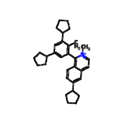 Cc1c(-c2c3ccc(C4CCCC4)cc3cc[n+]2C)cc(C2CCCC2)cc1C1CCCC1